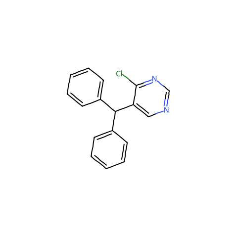 Clc1ncncc1C(c1ccccc1)c1ccccc1